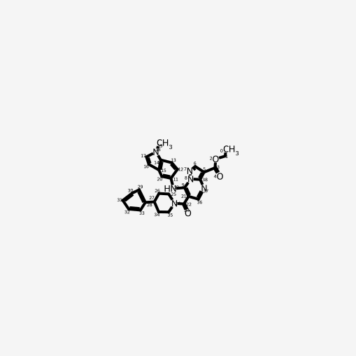 CCOC(=O)c1cnn2c(Nc3ccc4c(ccn4C)c3)c(C(=O)N3CCC(c4ccccc4)CC3)cnc12